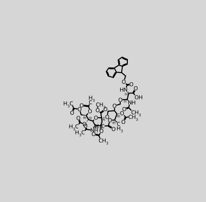 COC(=O)[C@@]1(OCC(OCO[C@H](NC(C)=O)[C@H](NC(=O)OCC2c3ccccc3-c3ccccc32)C(=O)O)[C@H](OC(C)=O)[C@@H](C)OC(C)=O)C[C@@H](OC(C)=O)[C@@H](NC(C)=O)C([C@H](OC(C)=O)[C@@H](COC(C)=O)OC(C)=O)O1